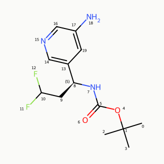 CC(C)(C)OC(=O)N[C@@H](CC(F)F)c1cncc(N)c1